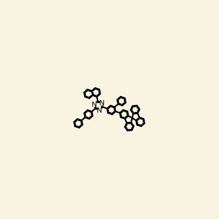 c1ccc(-c2ccc(-c3nc(-c4ccc(-c5ccc6c(c5)-c5ccccc5C65c6ccccc6-c6ccccc65)c(-c5ccccc5)c4)nc(-c4cccc5ccccc45)n3)cc2)cc1